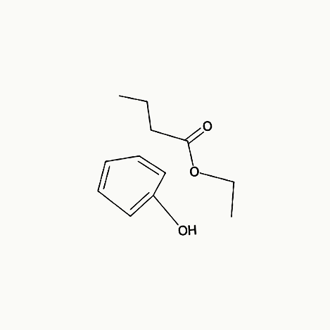 CCCC(=O)OCC.Oc1ccccc1